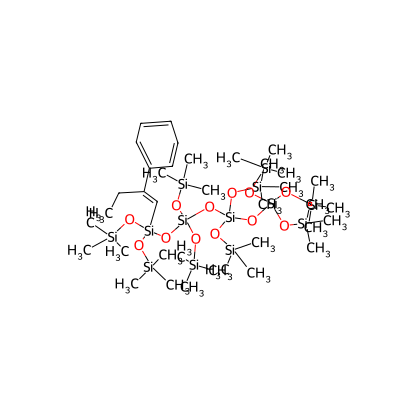 CCC(=C[Si](O[Si](C)(C)C)(O[Si](C)(C)C)O[Si](O[Si](C)(C)C)(O[Si](C)(C)C)O[Si](O[Si](C)(C)C)(O[Si](C)(C)C)O[Si](O[Si](C)(C)C)(O[Si](C)(C)C)O[Si](C)(C)C)c1ccccc1